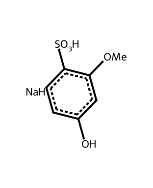 COc1cc(O)ccc1S(=O)(=O)O.[NaH]